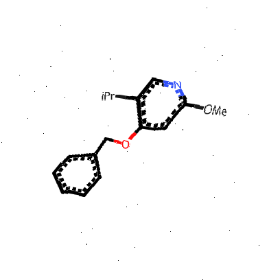 COc1cc(OCc2ccccc2)c(C(C)C)cn1